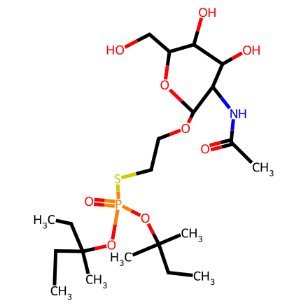 CCC(C)(C)OP(=O)(OC(C)(CC)CC)SCCOC1OC(CO)C(O)C(O)C1NC(C)=O